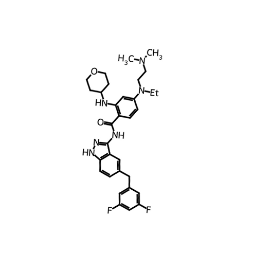 CCN(CCN(C)C)c1ccc(C(=O)Nc2n[nH]c3ccc(Cc4cc(F)cc(F)c4)cc23)c(NC2CCOCC2)c1